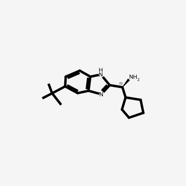 CC(C)(C)c1ccc2[nH]c([C@@H](N)C3CCCC3)nc2c1